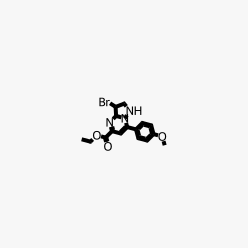 CCOC(=O)C1=NC2C(Br)CNN2C(c2ccc(OC)cc2)=C1